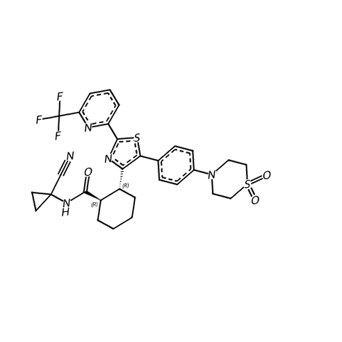 N#CC1(NC(=O)[C@@H]2CCCC[C@H]2c2nc(-c3cccc(C(F)(F)F)n3)sc2-c2ccc(N3CCS(=O)(=O)CC3)cc2)CC1